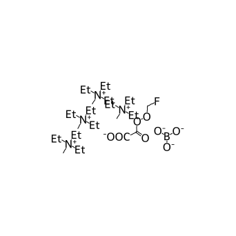 CC[N+](C)(CC)CC.CC[N+](C)(CC)CC.CC[N+](C)(CC)CC.CC[N+](C)(CC)CC.O=C([O-])C(=O)OOCF.[O-]B([O-])[O-]